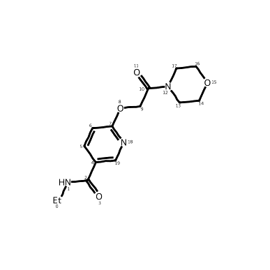 CCNC(=O)c1ccc(OCC(=O)N2CCOCC2)nc1